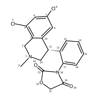 CN1Cc2c(Cl)cc(Cl)cc2[C@H](c2ccccc2N2C(=O)COC2=O)C1